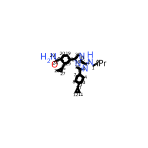 CC(C)CNc1nc(-c2ccc(C3CC3)cc2)cn2c(-c3ccc(C(N)=O)c(C4CC4)c3)cnc12